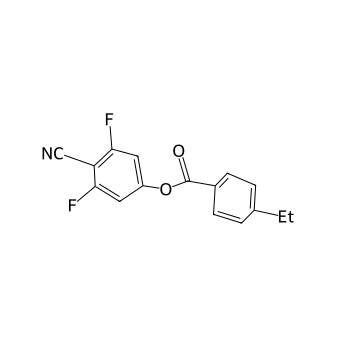 CCc1ccc(C(=O)Oc2cc(F)c(C#N)c(F)c2)cc1